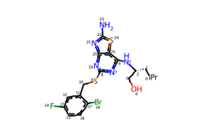 CC(C)C[C@H](CO)Nc1nc(SCc2cc(F)ccc2Br)nc2nc(N)sc12